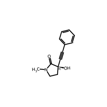 CN1CC[C@@](O)(C#Cc2[c]cccc2)C1=O